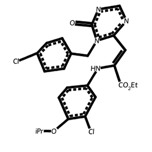 CCOC(=O)C(=Cc1ncnc(=O)n1Cc1ccc(Cl)cc1)Nc1ccc(OC(C)C)c(Cl)c1